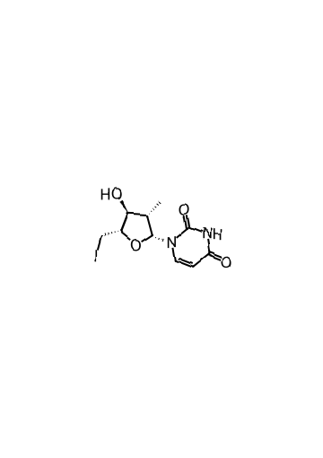 C[C@H]1[C@H](O)[C@@H](CI)O[C@H]1n1ccc(=O)[nH]c1=O